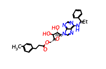 CC[C@H](Nc1ncnc2c1ncn2[C@@H]1O[C@H](COC(=O)CCc2ccc(C)cc2)C(O)[C@@H]1O)c1ccccc1